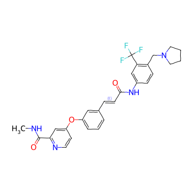 CNC(=O)c1cc(Oc2cccc(/C=C/C(=O)Nc3ccc(CN4CCCC4)c(C(F)(F)F)c3)c2)ccn1